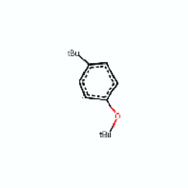 CC(C)(C)Oc1[c]cc(C(C)(C)C)cc1